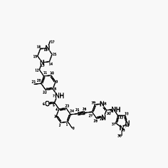 Cc1ccc(C(=O)Nc2ccc(CN3CCN(C)CC3)c(C)c2)cc1C#Cc1cnc(Nc2cnn(C)c2)nc1